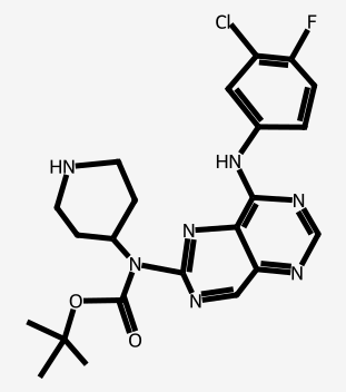 CC(C)(C)OC(=O)N(c1ncc2ncnc(Nc3ccc(F)c(Cl)c3)c2n1)C1CCNCC1